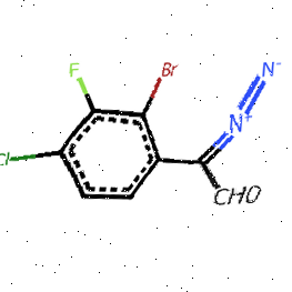 [N-]=[N+]=C(C=O)c1ccc(Cl)c(F)c1Br